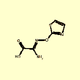 NC(=NOc1nccs1)C(=O)O